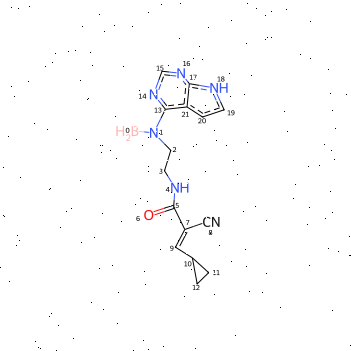 BN(CCNC(=O)/C(C#N)=C/C1CC1)c1ncnc2[nH]ccc12